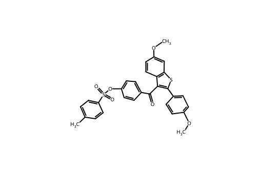 COc1ccc(-c2sc3cc(OC)ccc3c2C(=O)c2ccc(OS(=O)(=O)c3ccc(C)cc3)cc2)cc1